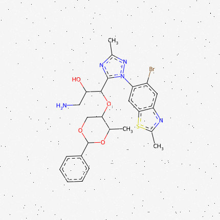 Cc1nc(C(OC2COC(c3ccccc3)OC2C)C(O)CN)n(-c2cc3sc(C)nc3cc2Br)n1